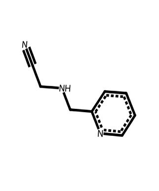 N#CCNCc1ccccn1